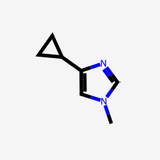 Cn1[c]nc(C2CC2)c1